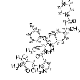 CC(CC(C)n1nccc1C(=O)N[C@H](C(=O)Nc1ccc([C@H](C)CC(=O)N2CCN(C)CC2)cc1F)[C@@H](C)c1ccc(F)cc1)C(N)=O